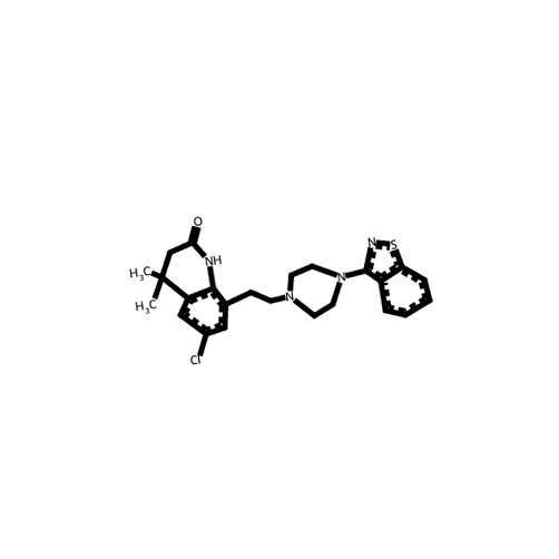 CC1(C)CC(=O)Nc2c(CCN3CCN(c4nsc5ccccc45)CC3)cc(Cl)cc21